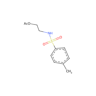 CC(=O)OCCNS(=O)(=O)c1ccc(C)cc1